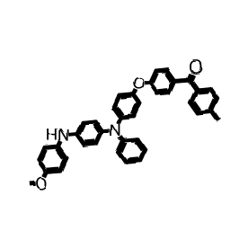 COc1ccc(Nc2ccc(N(c3ccccc3)c3ccc(Oc4ccc(C(=O)c5ccc(C)cc5)cc4)cc3)cc2)cc1